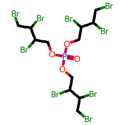 O=P(OCC(Br)C(Br)CBr)(OCC(Br)C(Br)CBr)OCC(Br)C(Br)CBr